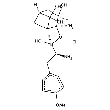 COc1ccc(C[C@H](N)B(O)O[C@]2(C)[C@H](O)C[C@@H]3C[C@H]2C3(C)C)cc1.Cl